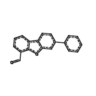 O=Cc1cccc2c1oc1cc(-c3ccccc3)ccc12